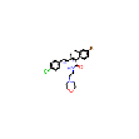 CC(/C=C/c1ccc(Cl)cc1)=C(/C(=O)NCCN1CCOCC1)c1ccc(Br)cc1C